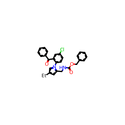 CCc1cc(CNC(=O)OCc2ccccc2)n(-c2ccc(Cl)cc2C(=O)c2ccccc2)c1